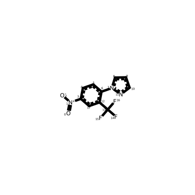 O=[N+]([O-])c1ccc(-n2cccn2)c(C(F)(F)F)c1